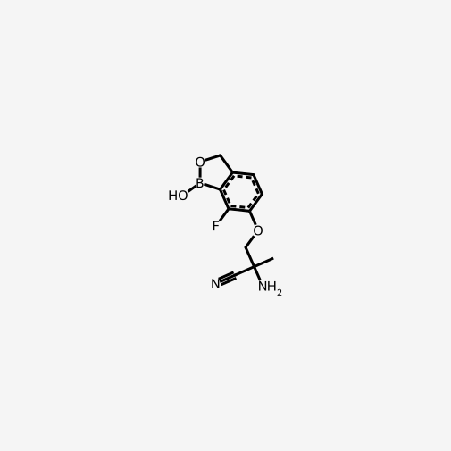 CC(N)(C#N)COc1ccc2c(c1F)B(O)OC2